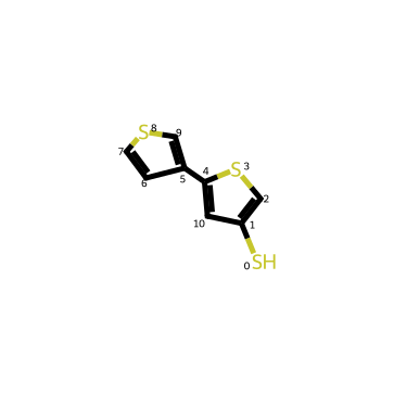 Sc1csc(-c2ccsc2)c1